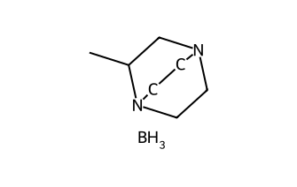 B.CC1CN2CCN1CC2